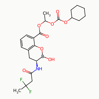 CC(OC(=O)OC1CCCCC1)OC(=O)c1cccc2c1OB(O)[C@@H](NC(=O)CC(C)(F)F)C2